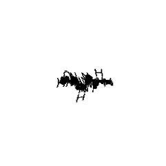 CN(C)CCNc1cc(F)cc(-c2ccnc3[nH]c(-c4n[nH]c5ccc(-c6cncc(NC(=O)C7CCC7)c6)cc45)nc23)c1